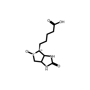 O=C(O)CCCC[C@H]1C2NC(=O)NC2C[S+]1[O-]